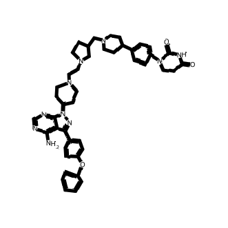 Nc1ncnc2c1c(-c1ccc(Oc3ccccc3)cc1)nn2C1CCN(CCN2CCC(CN3CCC(c4ccc(N5CCC(=O)NC5=O)cc4)CC3)C2)CC1